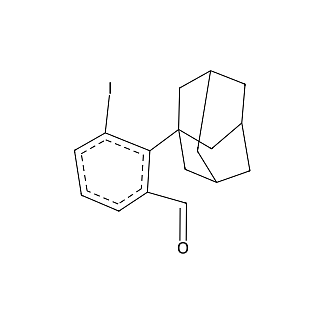 O=Cc1cccc(I)c1C12CC3CC(CC(C3)C1)C2